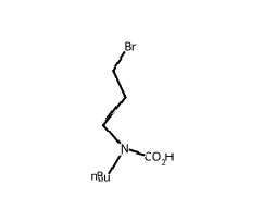 CCCCN(CCCBr)C(=O)O